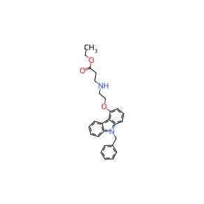 CCOC(=O)CCNCCOc1cccc2c1c1ccccc1n2Cc1ccccc1